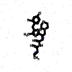 C/C=C/C(=N)NC(=N)/C=C(/CN1CCOCC1)c1nc(C)c(Cc2ccc(Cl)cc2F)[nH]1